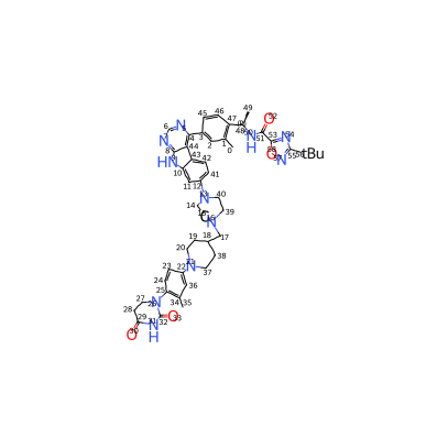 Cc1cc(-c2ncnc3[nH]c4cc(N5CCN(CC6CCN(c7ccc(N8CCC(=O)NC8=O)c(C)c7)CC6)CC5)ccc4c23)ccc1[C@@H](C)NC(=O)c1nc(C(C)(C)C)no1